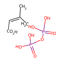 CC(C)=CC(=O)O.O=P(O)(O)OP(=O)(O)O